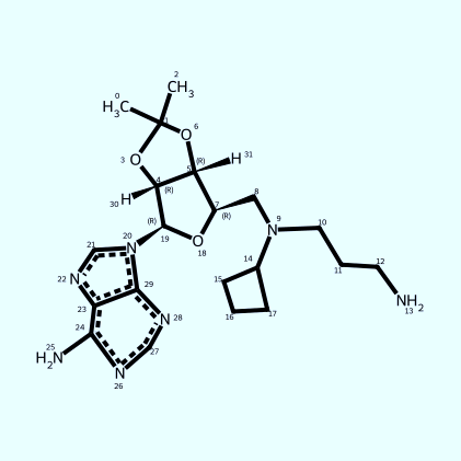 CC1(C)O[C@@H]2[C@H](O1)[C@@H](CN(CCCN)C1CCC1)O[C@H]2n1cnc2c(N)ncnc21